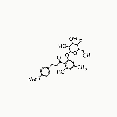 COc1ccc(CCC(=O)c2c(O)cc(C)cc2OC2OC(CO)C(F)C(O)C2O)cc1